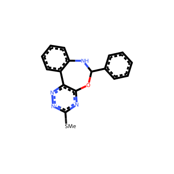 CSc1nnc2c(n1)OC(c1ccccc1)Nc1ccccc1-2